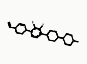 C=CC1C=CC(c2ccc(C3CCC(C4CCC(C)CC4)CC3)c(F)c2F)CC1